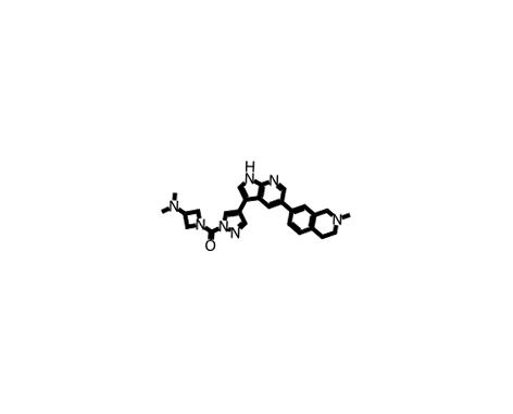 CN1CCc2ccc(-c3cnc4[nH]cc(-c5cnn(C(=O)N6CC(N(C)C)C6)c5)c4c3)cc2C1